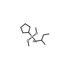 CCC(C)N[Si](OC)(OC)C1CCCC1